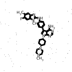 Cc1cc2nc(Nc3ccc(-c4cn([C@H]5CC[C@H](N6CCN(C)CC6)CC5)c5ncnc(N)c45)cc3)n(C)c2cc1F